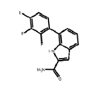 NC(=O)c1cc2cccc(-c3ccc(F)c(F)c3F)c2[nH]1